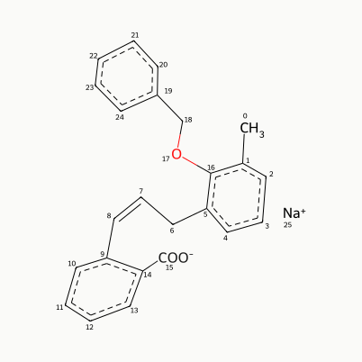 Cc1cccc(C/C=C\c2ccccc2C(=O)[O-])c1OCc1ccccc1.[Na+]